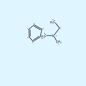 CC[Si](C)C.c1ccccc1